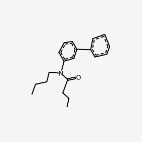 CCCCN(C(=O)CCC)c1cccc(-c2ccccc2)c1